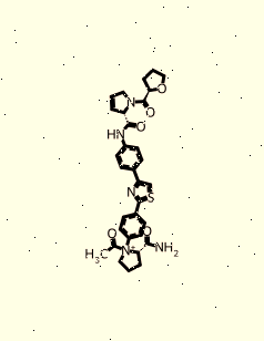 CC(=O)[N+]1(c2ccc(-c3nc(-c4ccc(NC(=O)[C@@H]5C=CCN5C(=O)[C@H]5CCCO5)cc4)cs3)cc2)CCC[C@H]1C(N)=O